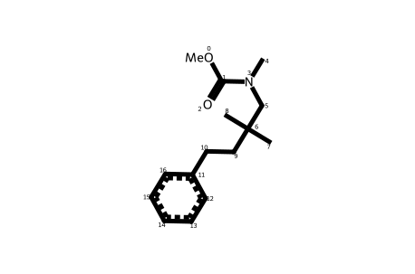 COC(=O)N(C)CC(C)(C)CCc1ccccc1